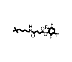 CC(C)(C)CCCCNC(=O)CCC(=O)Oc1c(F)c(F)cc(F)c1F